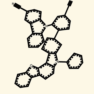 N#Cc1ccc(-c2ccc3c4c5oc6ccccc6c5ccc4n(-c4ccccc4)c3c2)c(-n2c3ccccc3c3cc(C#N)ccc32)c1